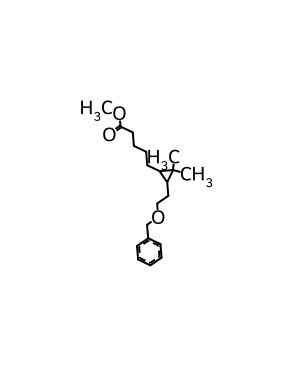 COC(=O)CCCCC1C(CCOCc2ccccc2)C1(C)C